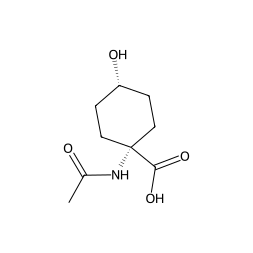 CC(=O)N[C@]1(C(=O)O)CC[C@H](O)CC1